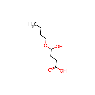 CCCCOC(O)CCC(=O)O